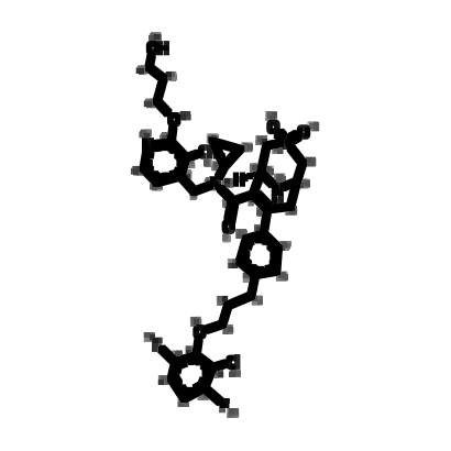 Cc1c(CN(C(=O)C2=C(c3ccc(CCCOc4c(F)ccc(F)c4Cl)cc3)CC3CS(=O)(=O)C[C@H]2N3)C2CC2)ccnc1OCCCO